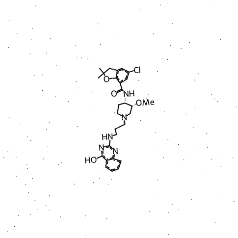 CO[C@@H]1CN(CCCNc2nc(O)c3ccccc3n2)CC[C@@H]1NC(=O)c1cc(Cl)cc2c1OC(C)(C)C2